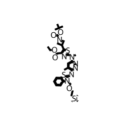 CCOC(=O)c1nc(N(C)c2cc(C)c(/N=c3\sc4ccccc4n3COCC[Si](C)(C)C)nn2)sc1C1CN(C(=O)OC(C)(C)C)C1